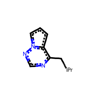 CC(C)Cc1ncnn2cccc12